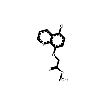 CCCCCCCCOC(=S)COc1ccc(Cl)c2cccnc12